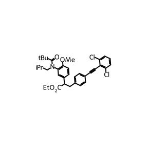 CCOC(=O)C(Cc1ccc(C#Cc2c(Cl)cccc2Cl)cc1)c1ccc(OC)c(N(CC(C)C)C(=O)C(C)(C)C)c1